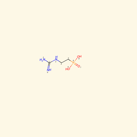 N=C(N)NCCP(=O)(O)O